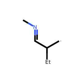 [CH2]C(C=NC)CC